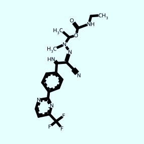 CCNC(=O)OC(C)N(C)/N=C(/C#N)C(=N)c1ccc(-c2nccc(C(F)(F)F)n2)cc1